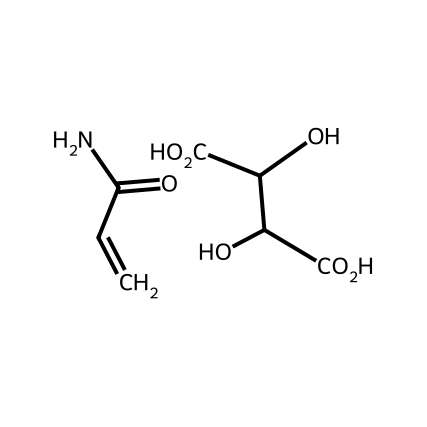 C=CC(N)=O.O=C(O)C(O)C(O)C(=O)O